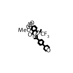 COc1c(S(C)(=O)=O)ccc(O[C@@H](C)C(F)(F)F)c1C(=O)N1CC(c2ccc(C3CCOCC3)cc2)C1